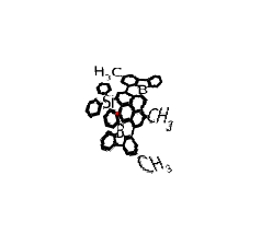 Cc1cc2c3c(c1)-c1cc(C)c4cc5c6c(cc([Si](c7ccccc7)(c7ccccc7)c7ccccc7)c7cc(c1c4c76)B3c1ccccc1-2)-c1cc(C)cc2c1B5c1ccccc1-2